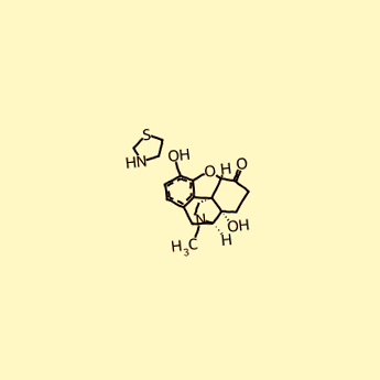 C1CSCN1.CN1CC[C@]23c4c5ccc(O)c4O[C@H]2C(=O)CC[C@@]3(O)[C@H]1C5